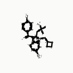 CC(=O)C(C)(C)Cc1c(C(=O)c2ccc(Cl)cc2)c2ccc(O)cc2n1CC1CCC1